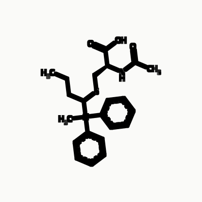 CCCC(SC[C@H](NC(C)=O)C(=O)O)[Si](C)(c1ccccc1)c1ccccc1